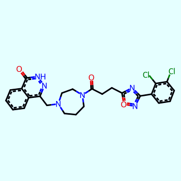 O=C(CCc1nc(-c2cccc(Cl)c2Cl)no1)N1CCCN(Cc2n[nH]c(=O)c3ccccc23)CC1